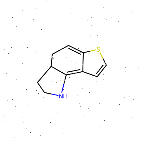 C1=c2sccc2=C2NCCC2C1